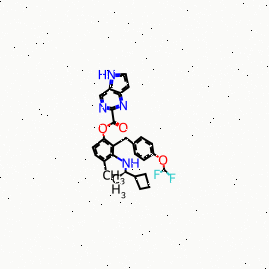 Cc1ccc(OC(=O)c2ncc3[nH]ccc3n2)c(Cc2ccc(OC(F)F)cc2)c1N[C@H](C)C1CCC1